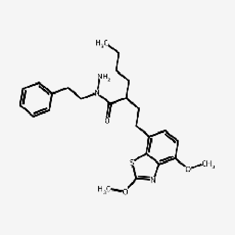 CCCCC(CCc1ccc(OC)c2nc(OC)sc12)C(=O)N(N)CCc1ccccc1